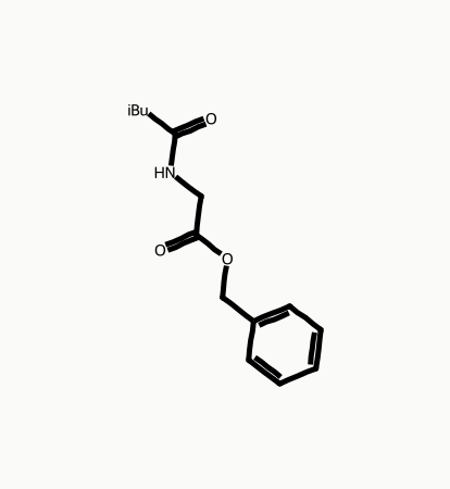 CCC(C)C(=O)NCC(=O)OCc1ccccc1